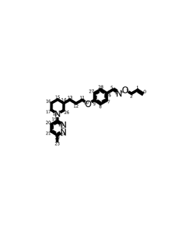 C=CCON=Cc1ccc(OCCCC2CCCN(c3ccc(C)nn3)C2)cc1